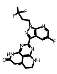 CC(F)(F)CCn1nc(-c2nc3c4c(n2)NC(=O)CC4(C)CCN3)c2cc(F)cnc21